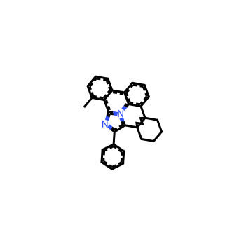 Cc1cccc2c3cccc4c3n3c(c(-c5ccccc5)nc3c12)C12CCCCC41CCC2